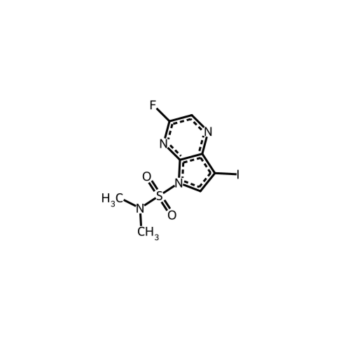 CN(C)S(=O)(=O)n1cc(I)c2ncc(F)nc21